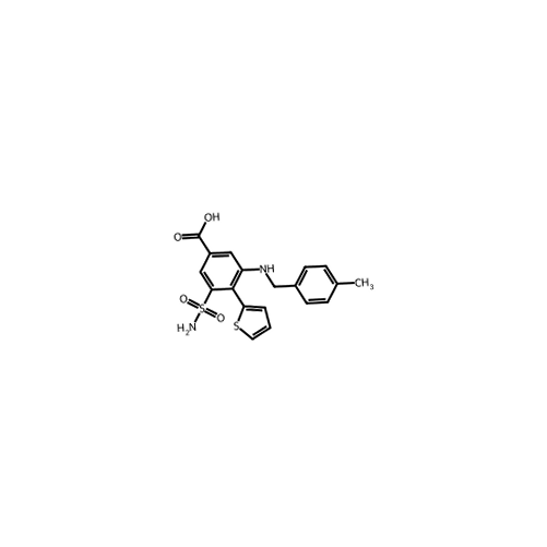 Cc1ccc(CNc2cc(C(=O)O)cc(S(N)(=O)=O)c2-c2cccs2)cc1